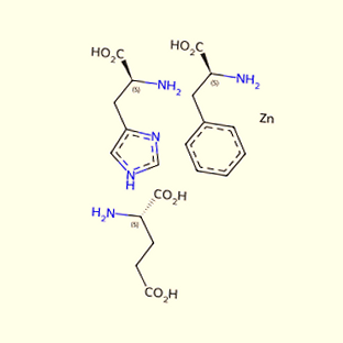 N[C@@H](CCC(=O)O)C(=O)O.N[C@@H](Cc1c[nH]cn1)C(=O)O.N[C@@H](Cc1ccccc1)C(=O)O.[Zn]